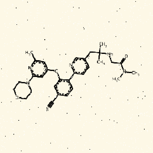 Cc1cc(Oc2cc(C#N)ccc2-c2ccc(CC(C)(C)NCC(=O)N(C)C)cn2)cc(N2CCOCC2)n1